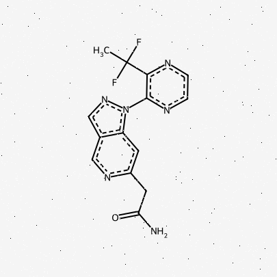 CC(F)(F)c1nccnc1-n1ncc2cnc(CC(N)=O)cc21